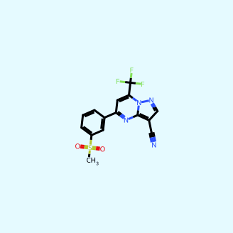 CS(=O)(=O)c1cccc(-c2cc(C(F)(F)F)n3ncc(C#N)c3n2)c1